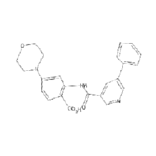 O=C(Nc1cc(N2CCOCC2)ccc1C(=O)O)c1cncc(-c2ccccc2)c1